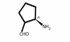 N[C@@H]1CCCC1C=O